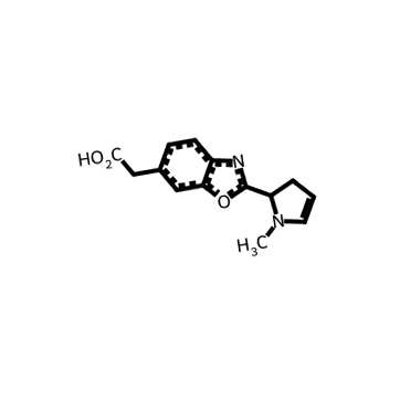 CN1C=CCC1c1nc2ccc(CC(=O)O)cc2o1